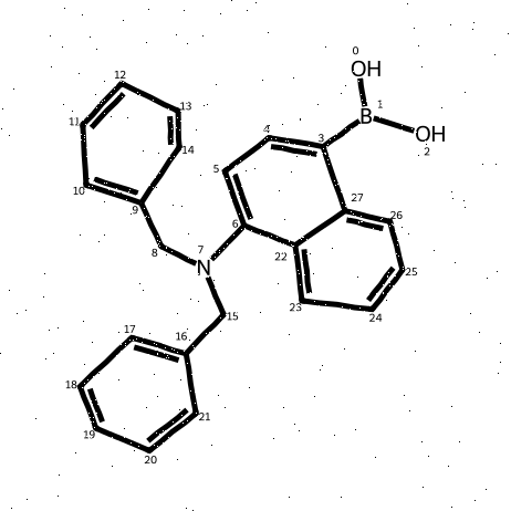 OB(O)c1ccc(N(Cc2ccccc2)Cc2ccccc2)c2ccccc12